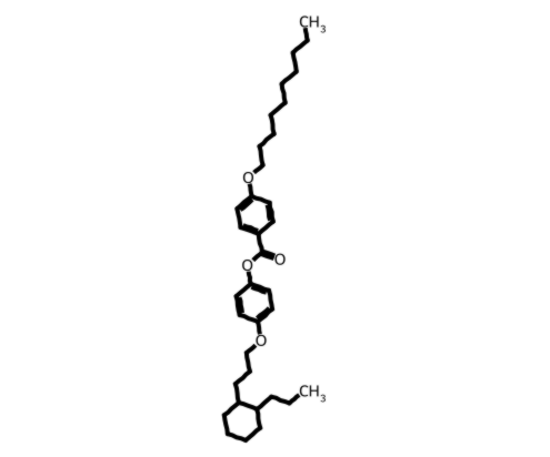 CCCCCCCCCCOc1ccc(C(=O)Oc2ccc(OCCCC3CCCCC3CCC)cc2)cc1